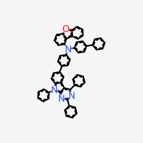 c1ccc(-c2ccc(N(c3ccc(-c4ccc5c(c4)c4c(-c6ccccc6)nc(-c6ccccc6)nc4n5-c4ccccc4)cc3)c3cccc4oc5ccccc5c34)cc2)cc1